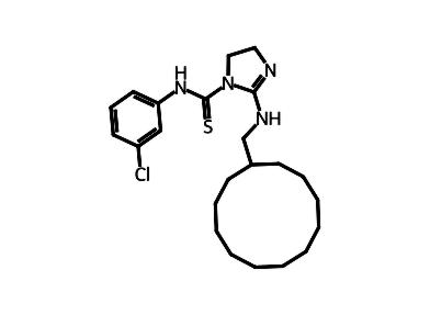 S=C(Nc1cccc(Cl)c1)N1CCN=C1NCC1CCCCCCCCCCC1